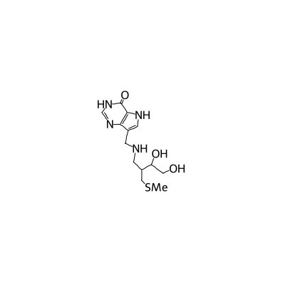 CSCC(CNCc1c[nH]c2c(=O)[nH]cnc12)C(O)CO